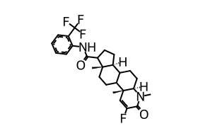 CN1C(=O)C(F)=C[C@]2(C)C3CC[C@]4(C)C(C(=O)Nc5ccccc5C(F)(F)F)CC[C@H]4C3CC[C@@H]12